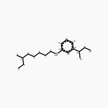 CCC(C)CCCCCSc1cccc(C(C)CC)c1